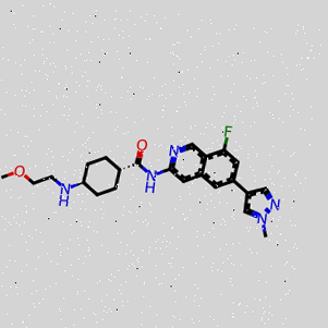 COCCN[C@H]1CC[C@H](C(=O)Nc2cc3cc(-c4cnn(C)c4)cc(F)c3cn2)CC1